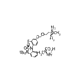 CC(C)(C)N1c2ccccc2N(c2ccc(OCOCC[Si](C)(C)C)cc2F)S1(=O)=O.CCCN(C)C(=O)O